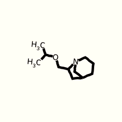 CC(C)OCC1CC2CCCN1C2